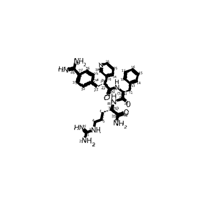 N=C(N)NCCC[C@H](NC(=O)[C@H](Cc1ccccc1)NC(=O)[C@H](Cc1ccc(C(=N)N)cc1)c1cccnc1)C(N)=O